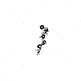 COCCNCc1cccc(C2Cc3nccc(Oc4ccc(NC(=O)C5(C(=O)Nc6ccccc6)CC5)cc4F)c3S2)n1